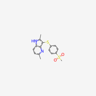 Cc1ccc2[nH]c(C)c(Sc3ccc(S(C)(=O)=O)cc3)c2n1